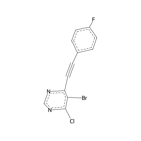 Fc1ccc(C#Cc2ncnc(Cl)c2Br)cc1